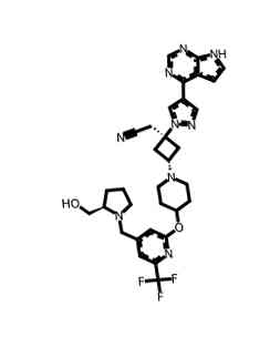 N#CC[C@]1(n2cc(-c3ncnc4[nH]ccc34)cn2)C[C@H](N2CCC(Oc3cc(CN4CCC[C@@H]4CO)cc(C(F)(F)F)n3)CC2)C1